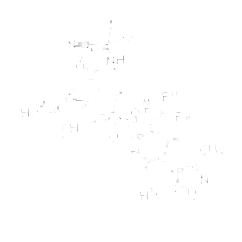 Cc1noc(C)c1-c1ccc(S(=O)(=O)[C@H]2C[C@@H](OC(C)C)[C@H](C(=O)NC3(C#N)CC3)C2)c(C(F)(F)F)c1